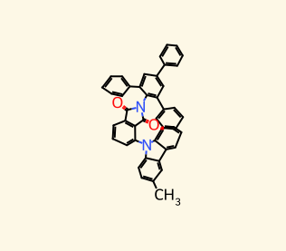 Cc1ccc2c(c1)c1ccccc1n2-c1cccc2c1C(=O)N(c1c(-c3ccccc3)cc(-c3ccccc3)cc1-c1ccccc1)C2=O